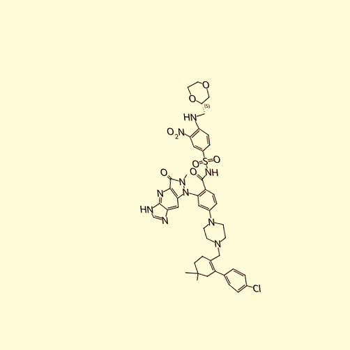 Cn1c(=O)c2nc3[nH]cnc3cc2n1-c1cc(N2CCN(CC3=C(c4ccc(Cl)cc4)CC(C)(C)CC3)CC2)ccc1C(=O)NS(=O)(=O)c1ccc(NC[C@H]2COCCO2)c([N+](=O)[O-])c1